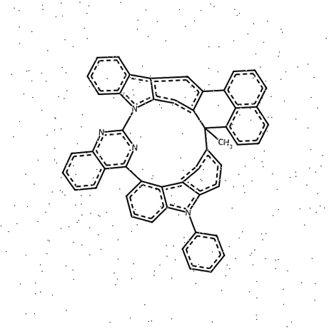 CC12c3ccc4c(c3)c3c(cccc3n4-c3ccccc3)-c3nc(nc4ccccc34)-n3c4ccccc4c4cc(c1cc43)-c1cccc3cccc2c13